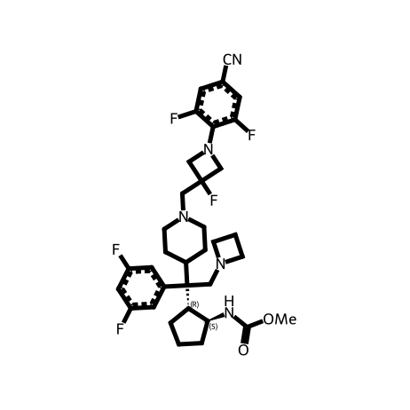 COC(=O)N[C@H]1CCC[C@@H]1C(CN1CCC1)(c1cc(F)cc(F)c1)C1CCN(CC2(F)CN(c3c(F)cc(C#N)cc3F)C2)CC1